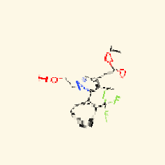 Cc1c(C(=O)OC(C)C)cn(CCO)c1-c1ccccc1C(F)(F)F